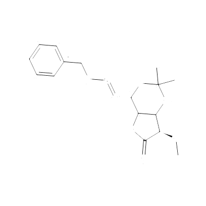 CO[C@H]1C(=O)OC2C1OC(C)(C)O[C@H]2C=NOCc1ccccc1